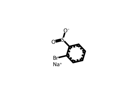 O=S([O-])c1ccccc1Br.[Na+]